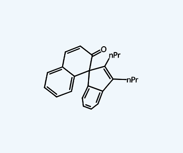 CCCC1=C(CCC)C2(C(=O)C=Cc3ccccc32)c2ccccc21